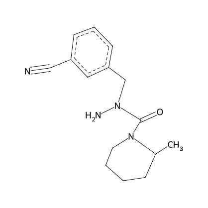 CC1CCCCN1C(=O)N(N)Cc1cccc(C#N)c1